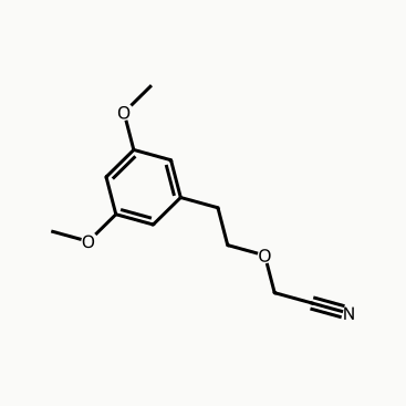 COc1cc(CCOCC#N)cc(OC)c1